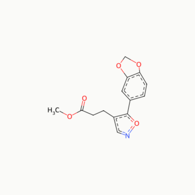 COC(=O)CCc1cnoc1-c1ccc2c(c1)OCO2